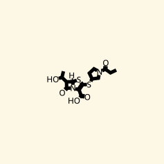 CCC(=O)N1CCC(SC2=C(C(=O)O)N3C(=O)C(C(C)O)[C@H]3S2)C1